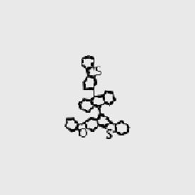 c1ccc2c(c1)oc1cc3c(cc12)c(-c1c2ccccc2c(-c2ccc4c(c2)sc2ccccc24)c2ccccc12)cc1c2ccccc2sc31